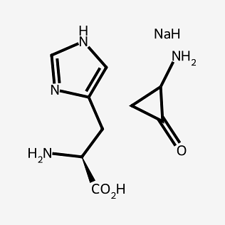 NC1CC1=O.N[C@@H](Cc1c[nH]cn1)C(=O)O.[NaH]